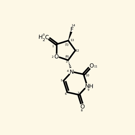 C=C1O[C@@H](n2ccc(=O)[nH]c2=O)C[C@@H]1F